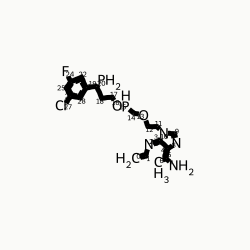 C=C/N=C1\C(=C(/C)N)N=CN1CCOCPOCCC(P)c1cc(F)cc(Cl)c1